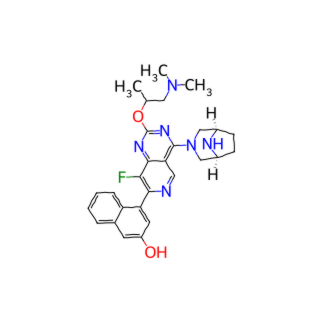 CC(CN(C)C)Oc1nc(N2C[C@H]3CC[C@@H](C2)N3)c2cnc(-c3cc(O)cc4ccccc34)c(F)c2n1